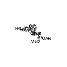 COCCN(CCOC)C(=O)CNC(=O)N1Cc2ccccc2N(C(=O)c2ccc(OCCO)cc2Cl)C[C@H]1C